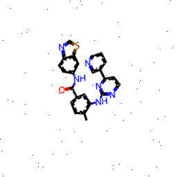 Cc1ccc(C(=O)Nc2ccc3ncsc3c2)cc1Nc1nccc(-c2cccnc2)n1